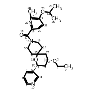 CCO[C@@H]1C[C@H](c2cccnc2)OC2(CCN(C(=O)c3ccc(OC(C)C)c(C)n3)CC2)C1